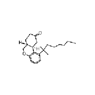 CCCCCCC(C)(C)c1cccc2c1[C@@H]1CC(=O)CC[C@H]1CO2